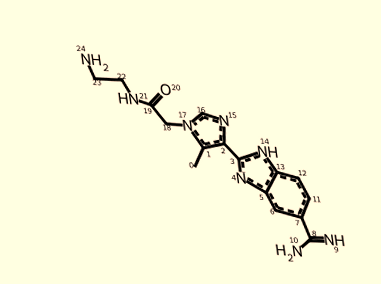 Cc1c(-c2nc3cc(C(=N)N)ccc3[nH]2)ncn1CC(=O)NCCN